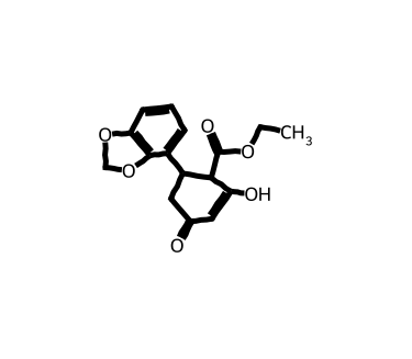 CCOC(=O)C1C(O)=CC(=O)CC1c1cccc2c1OCO2